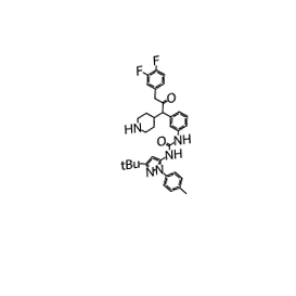 Cc1ccc(-n2nc(C(C)(C)C)cc2NC(=O)Nc2cccc(C(C(=O)Cc3ccc(F)c(F)c3)C3CCNCC3)c2)cc1